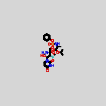 CO[C@](N)(COP(=O)(N[C@@H](C)C(=O)OC(C)C)Oc1ccccc1)[C@@H](F)[C@@H](O)n1ccc(=O)[nH]c1=O